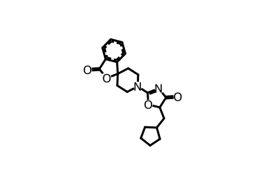 O=C1OC2(CCN(C3=NC(=O)C(CC4CCCC4)O3)CC2)c2ccccc21